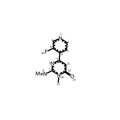 CNc1nc(-c2ccncc2F)cc(=O)n1C